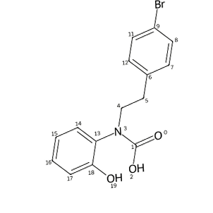 O=C(O)N(CCc1ccc(Br)cc1)c1ccccc1O